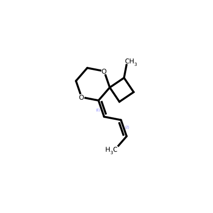 C/C=C\C=C1\OCCOC12CCC2C